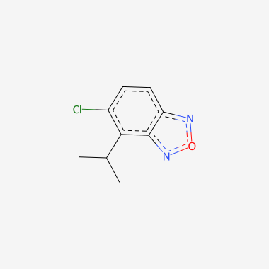 CC(C)c1c(Cl)ccc2nonc12